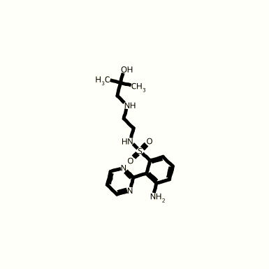 CC(C)(O)CNCCNS(=O)(=O)c1cccc(N)c1-c1ncccn1